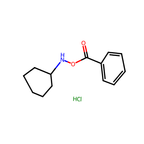 Cl.O=C(ONC1CCCCC1)c1ccccc1